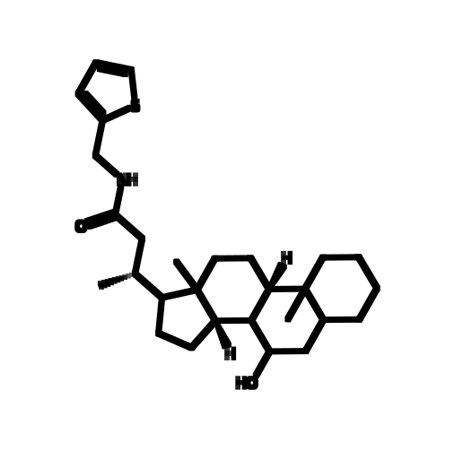 C[C@H](CC(=O)NCc1cccs1)C1CC[C@H]2C3C(O)CC4CCCCC4(C)[C@H]3CCC12C